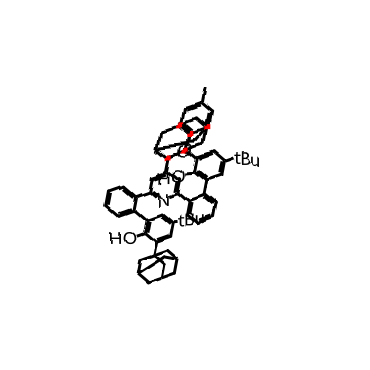 Cc1ccc(OCc2cc(-c3ccccc3-c3cc(C(C)(C)C)cc(C45CC6CC(CC(C6)C4)C5)c3O)nc(-c3ccccc3-c3cc(C(C)(C)C)cc(C45CC6CC(CC(C6)C4)C5)c3O)c2)cc1